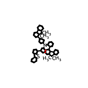 CC1(C)c2ccccc2-c2c(-c3ccccc3N(c3ccc(-c4cccc5c4C(C)(C)c4ccccc4-5)cc3)c3cccc(-c4cccc5c4sc4ccccc45)c3)cccc21